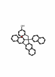 Oc1cccc(CC2(c3ccc4ccccc4c3)c3cc4ccccc4cc3-c3cc4ccccc4cc32)c1